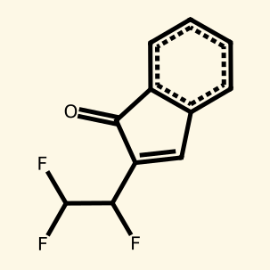 O=C1C(C(F)C(F)F)=Cc2ccccc21